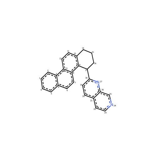 c1ccc2c(c1)ccc1c3c(ccc12)CCCC3c1ccc2ccncc2n1